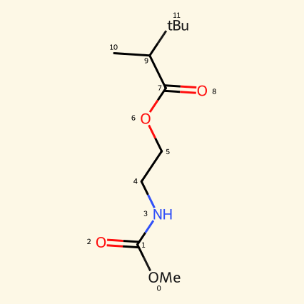 COC(=O)NCCOC(=O)C(C)C(C)(C)C